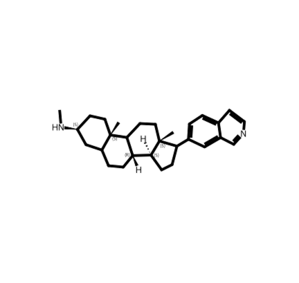 CN[C@H]1CC[C@@]2(C)C(CC[C@@H]3C2CC[C@]2(C)C(c4ccc5ccncc5c4)CC[C@@H]32)C1